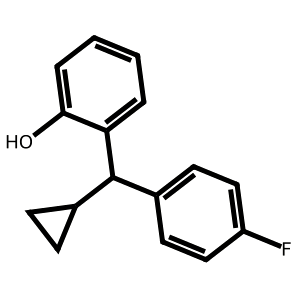 Oc1ccccc1C(c1ccc(F)cc1)C1CC1